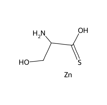 NC(CO)C(O)=S.[Zn]